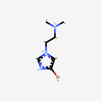 CN(C)CCn1cnc(Br)c1